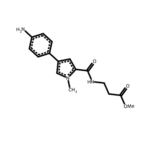 COC(=O)CCNC(=O)c1cc(-c2ccc(N)cc2)cn1C